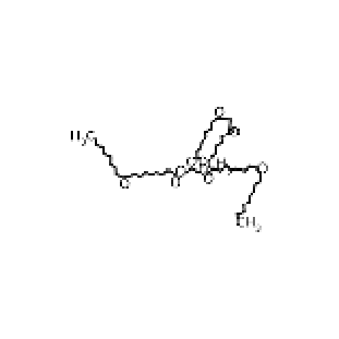 CCCCCCCCCC1OC1CCCCCCCC(=O)OCC(COC(=O)CCCCCCCC1OC1CCCCCCCCC)OC(=O)CCCCCCCC1OC1CC1OC1CCCCCC